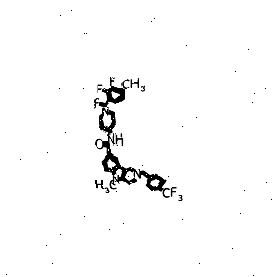 Cc1ccc(C(F)N2CCC(NC(=O)c3ccc4c(c3)c3c(n4C)CCN(Cc4ccc(C(F)(F)F)cc4)C3)CC2)c(F)c1F